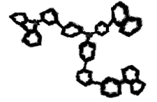 c1cc(-c2ccc(N(c3ccc(-c4cccc(-n5c6ccccc6c6ccccc65)c4)cc3)c3ccc(-c4cccc5ccccc45)cc3)cc2)cc(-c2cccc(-c3cccc4ccccc34)c2)c1